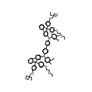 CCOCCOc1ccc(C2(c3ccc(OCC4(CC)COC4)cc3)c3ccccc3-c3ccc(N(c4ccc(-c5ccc(N(c6ccc(C)c(F)c6)c6ccc7c(c6)C(c6ccc(OCCOCC)cc6)(c6ccc(OCC8(CC)COC8)cc6)c6ccccc6-7)cc5)cc4)c4ccc(C)c(F)c4)cc32)cc1